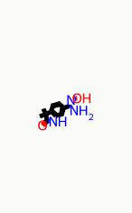 CC1(C)C(=O)Nc2cc(C(N)=NO)ccc21